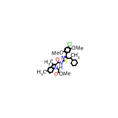 COC(=O)Cn1c(C(=O)Nc2nc(-c3cc(OC)c(Cl)cc3OC)c(C(C)C3CCCCC3)s2)c(C)c2cc(C)ccc21